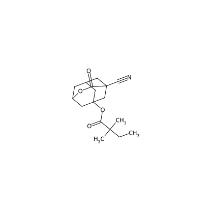 CCC(C)(C)C(=O)OC12CC3CC(C1)OC(=O)C(C#N)(C3)C2